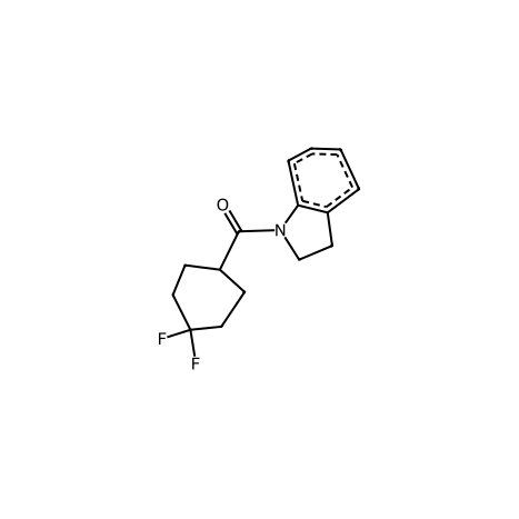 O=C(C1CCC(F)(F)CC1)N1CCc2ccccc21